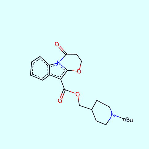 CCCCN1CCC(COC(=O)c2c3n(c4ccccc24)C(=O)CCO3)CC1